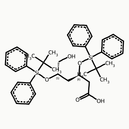 CC(C)(C)[Si](O[C@H](CO)C[C@H](CC(=O)O)O[Si](c1ccccc1)(c1ccccc1)C(C)(C)C)(c1ccccc1)c1ccccc1